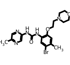 Cc1cnc(NC(=O)Nc2cc(Br)c(C)cc2OCCN2CCOCC2)cn1